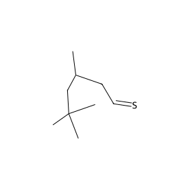 CC(CC=S)CC(C)(C)C